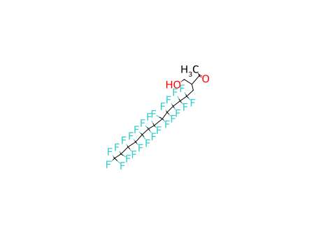 CC(=O)C(CO)CC(F)(F)C(F)(F)C(F)(F)C(F)(F)C(F)(F)C(F)(F)C(F)(F)C(F)(F)C(F)(F)C(F)(F)C(F)(F)C(F)(F)F